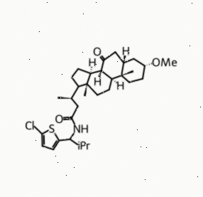 CO[C@@H]1CC[C@@]2(C)[C@H](CC(=O)[C@@H]3[C@@H]2CC[C@]2(C)C([C@H](C)CC(=O)NC(c4ccc(Cl)s4)C(C)C)CC[C@@H]32)C1